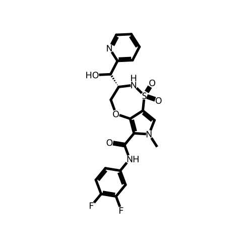 Cn1cc2c(c1C(=O)Nc1ccc(F)c(F)c1)OC[C@H](C(O)c1ccccn1)NS2(=O)=O